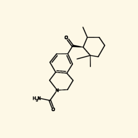 CC1CCCC(C)(C)[C@H]1C(=O)c1ccc2c(c1)CCN(C(N)=O)C2